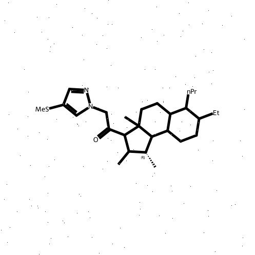 CCCC1C(CC)CCC2C1CCC1(C)C(C(=O)Cn3cc(SC)cn3)C(C)[C@@H](C)C21